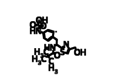 CC(C)(C)C(=O)NC(Cc1[c]cc(NS(=O)(=O)O)cc1)c1nc(CO)cs1